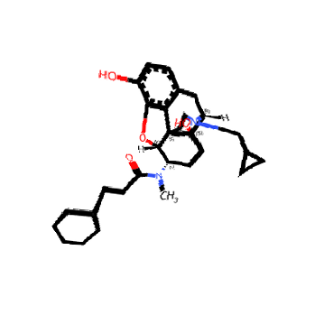 CN(C(=O)CCC1CCCCC1)[C@H]1CC[C@@]2(O)[C@H]3Cc4ccc(O)c5c4[C@@]2(CCN3CC2CC2)[C@H]1O5